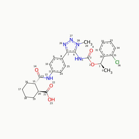 C[C@@H](OC(=O)Nc1c(-c2ccc(NC(=O)[C@H]3CCCC[C@@H]3C(=O)O)cc2)nnn1C)c1ccccc1Cl